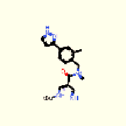 C=[N+](Cc1ccc(-c2cc[nH]n2)cc1C)C(=O)/C(C=N)=C/NC(C)(C)C